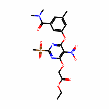 CCOC(=O)COc1nc(S(C)(=O)=O)nc(Oc2cc(C)cc(C(=O)N(C)C)c2)c1[N+](=O)[O-]